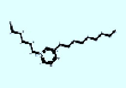 CCCCCCCCCc1ccc[n+](CCCCCC)c1